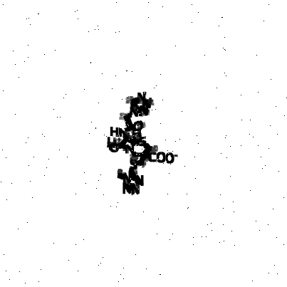 Cn1nnnc1SCC1(C(=O)[O-])CS[C@@H]2C(NC(=O)Cn3cnnn3)C(=O)N2C1.[Li+]